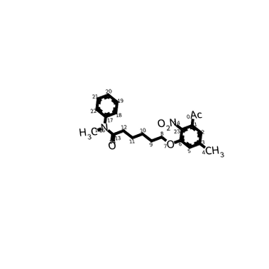 CC(=O)c1cc(C)cc(OCCCCCC(=O)N(C)c2ccccc2)c1[N+](=O)[O-]